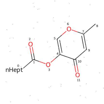 CCCCCCCC(=O)Oc1coc(C)cc1=O